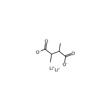 CC(C(=O)[O-])C(C)C(=O)[O-].[Li+].[Li+]